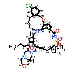 CCCCO[C@]1(CN2CCN3CCOC[C@@H]3C2)/C=C/C[C@H](C)[C@@H](C)S(=O)(=O)NC(=O)c2ccc3c(c2)N(CCCCc2cc(Cl)ccc2CO3)C[C@@H]2CC[C@H]21